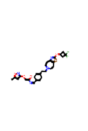 Cc1cc(OCC(=O)/N=C\C2CCC(CCN3CCc4nc(OC5CC(F)(F)C5)sc4CC3)CC2)no1